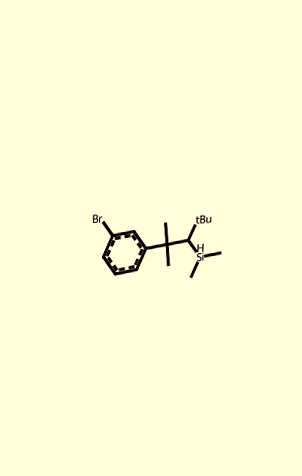 C[SiH](C)C(C(C)(C)C)C(C)(C)c1cccc(Br)c1